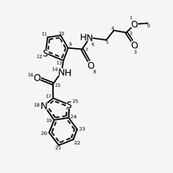 COC(=O)CCNC(=O)c1ccsc1NC(=O)c1nc2ccccc2s1